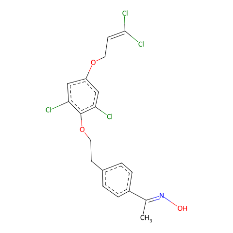 CC(=NO)c1ccc(CCOc2c(Cl)cc(OCC=C(Cl)Cl)cc2Cl)cc1